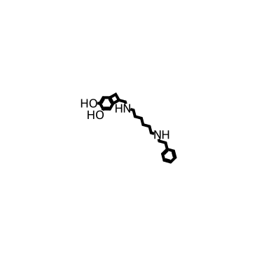 Oc1cc2c(cc1O)C(CNCCCCCCNCCc1ccccc1)C2